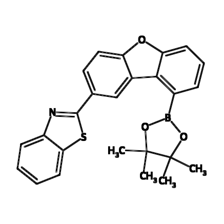 CC1(C)OB(c2cccc3oc4ccc(-c5nc6ccccc6s5)cc4c23)OC1(C)C